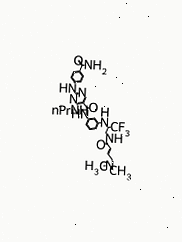 CCCNc1nc(Nc2ccc(C(N)=O)cc2)ncc1C(=O)Nc1cccc(NC(CNC(=O)/C=C/CN(C)C)C(F)(F)F)c1